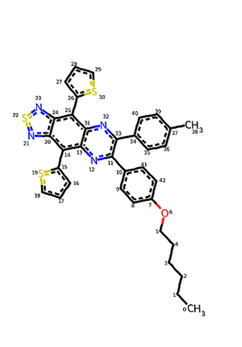 CCCCCCOc1ccc(-c2nc3c(-c4cccs4)c4nsnc4c(-c4cccs4)c3nc2-c2ccc(C)cc2)cc1